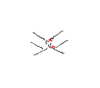 CCCCCCCCCCCC(=O)OC(CCCCCCCCCCC)CC(=O)NC1[C@H](OCC2O[C@H](OP(C)(=O)O)C(NC(=O)CC(O)CCCCCCCCCCC)[C@@H](OC(=O)CC(O)CCCCCCCCC)[C@@H]2O)OC(CO)[C@@H](OP(=O)(O)O)[C@@H]1OC(=O)CC(CCCCCCCCC)OC(=O)CCCCCCCCCCC